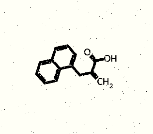 C=C(Cc1cccc2ccccc12)C(=O)O